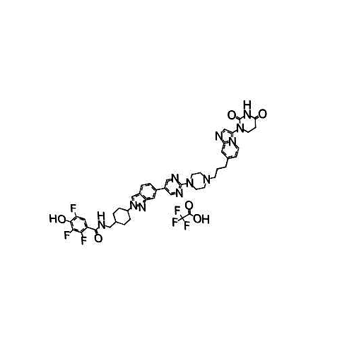 O=C(O)C(F)(F)F.O=C1CCN(c2cnc3cc(CCCN4CCN(c5ncc(-c6ccc7cn(C8CCC(CNC(=O)c9cc(F)c(O)c(F)c9F)CC8)nc7c6)cn5)CC4)ccn23)C(=O)N1